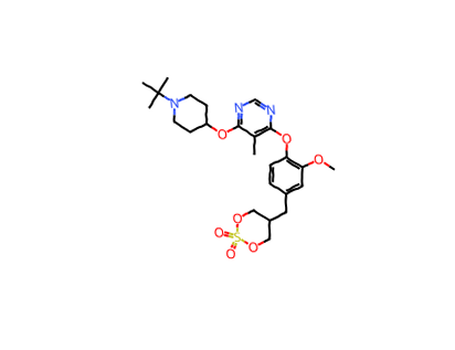 COc1cc(CC2COS(=O)(=O)OC2)ccc1Oc1ncnc(OC2CCN(C(C)(C)C)CC2)c1C